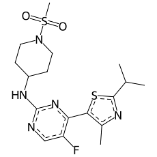 Cc1nc(C(C)C)sc1-c1nc(NC2CCN(S(C)(=O)=O)CC2)ncc1F